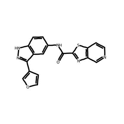 O=C(Nc1ccc2[nH]nc(-c3ccoc3)c2c1)c1nc2cnccc2s1